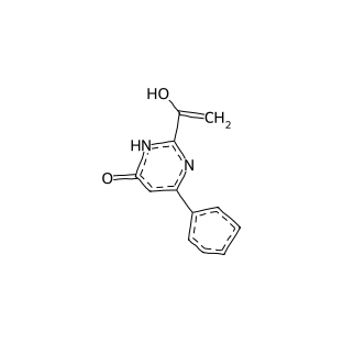 C=C(O)c1nc(-c2ccccc2)cc(=O)[nH]1